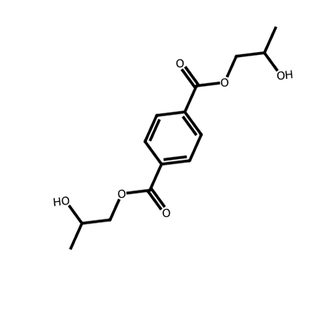 CC(O)COC(=O)c1ccc(C(=O)OCC(C)O)cc1